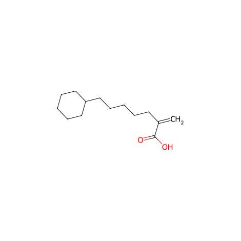 C=C(CCCCCC1CCCCC1)C(=O)O